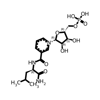 CC(C)C[C@@H](NC(=O)c1ccc[n+]([C@@H]2O[C@H](COP(=O)(O)O)[C@@H](O)[C@H]2O)c1)C(N)=O